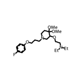 CCN(CC)CCOC1CN(CCCOc2ccc(F)cc2)CCC1(OC)OC